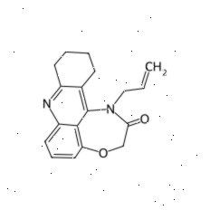 C=CCN1C(=O)COc2cccc3nc4c(c1c23)CCCC4